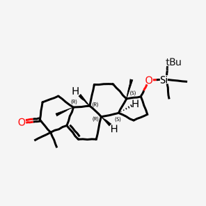 CC1(C)C(=O)CC[C@@]2(C)C1=CC[C@@H]1[C@H]2CC[C@]2(C)C(O[Si](C)(C)C(C)(C)C)CC[C@@H]12